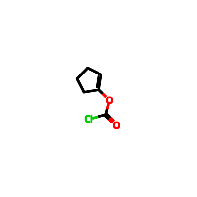 O=C(Cl)OC1=CCCC1